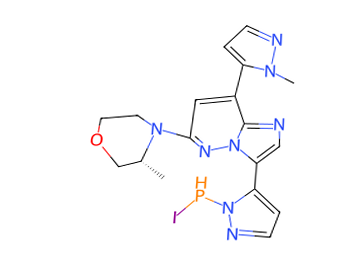 C[C@@H]1COCCN1c1cc(-c2ccnn2C)c2ncc(-c3ccnn3PI)n2n1